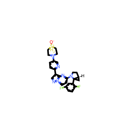 [O-][SH2+]1CCN(c2ccc(-c3cnn4ccc(N5CC[C@H]6CC65c5cc(F)ccc5F)nc34)nc2)CC1